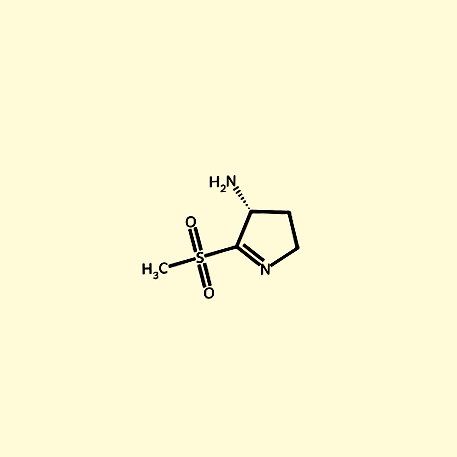 CS(=O)(=O)C1=NCC[C@H]1N